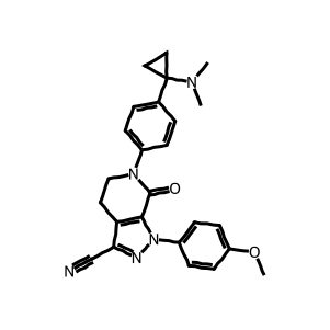 COc1ccc(-n2nc(C#N)c3c2C(=O)N(c2ccc(C4(N(C)C)CC4)cc2)CC3)cc1